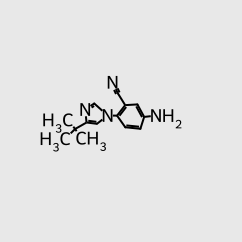 CC(C)(C)c1cn(-c2ccc(N)cc2C#N)cn1